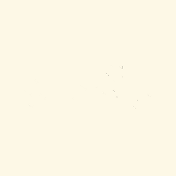 Cc1cc(COc2ccc(C(=O)NC(C3NC(=O)NC3=O)[C@@H]3CCN(C(=O)O)[C@@H](C(C)(C)C)C3)cc2)c2ccccc2n1